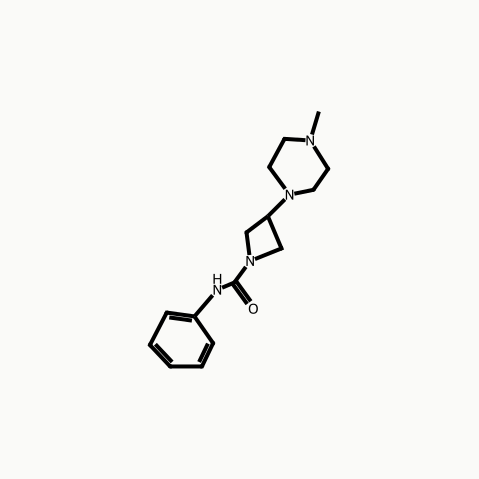 CN1CCN(C2CN(C(=O)Nc3ccccc3)C2)CC1